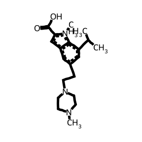 CC(C)c1cc(CCN2CCN(C)CC2)cc2cc(C(=O)O)n(C)c12